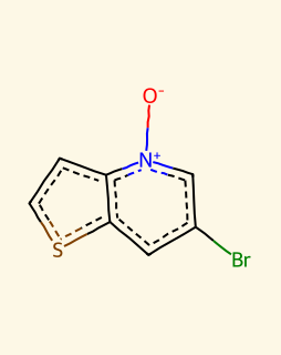 [O-][n+]1cc(Br)cc2sccc21